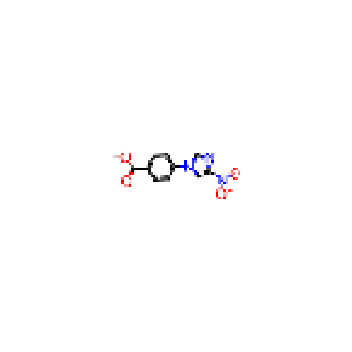 COC(=O)c1ccc(-n2cnc([N+](=O)[O-])c2)cc1